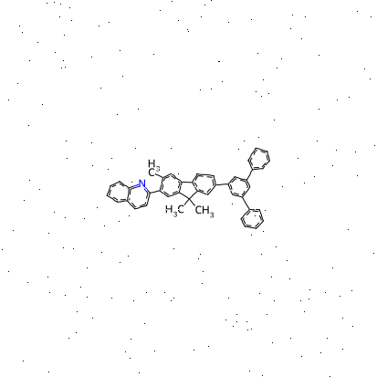 Cc1cc2c(cc1-c1ccc3ccccc3n1)C(C)(C)c1cc(-c3cc(-c4ccccc4)cc(-c4ccccc4)c3)ccc1-2